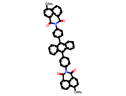 COc1ccc2c3c(cccc13)C(=O)N(c1ccc(-c3c4ccccc4c(-c4ccc(N5C(=O)c6cccc7c(OC)ccc(c67)C5=O)cc4)c4ccccc34)cc1)C2=O